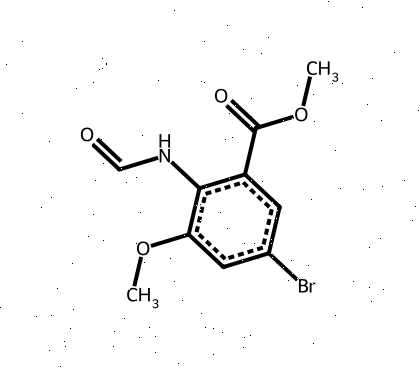 COC(=O)c1cc(Br)cc(OC)c1NC=O